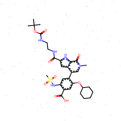 Cn1cc(-c2cc(NS(C)(=O)=O)c(C(=O)O)cc2OC2CCCCC2)c2cc(C(=O)NCCNC(=O)OC(C)(C)C)[nH]c2c1=O